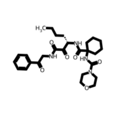 CCCC[C@H](NC(=O)C1(NC(=O)N2CCOCC2)CCCCC1)C(=O)C(=O)NCC(=O)c1ccccc1